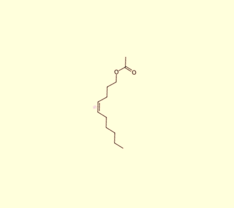 CCCCC/C=C\CCCOC(C)=O